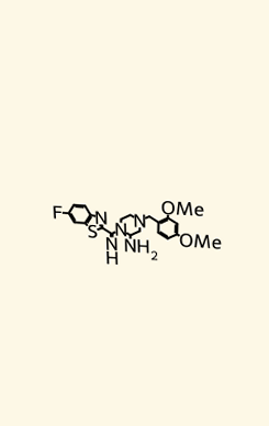 COc1ccc(CN2CCN(C(=N)c3nc4ccc(F)cc4s3)C(N)C2)c(OC)c1